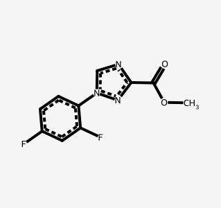 COC(=O)c1ncn(-c2ccc(F)cc2F)n1